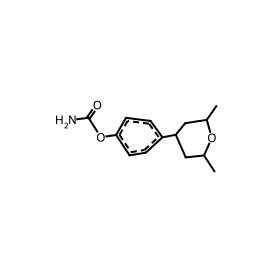 CC1CC(c2ccc(OC(N)=O)cc2)CC(C)O1